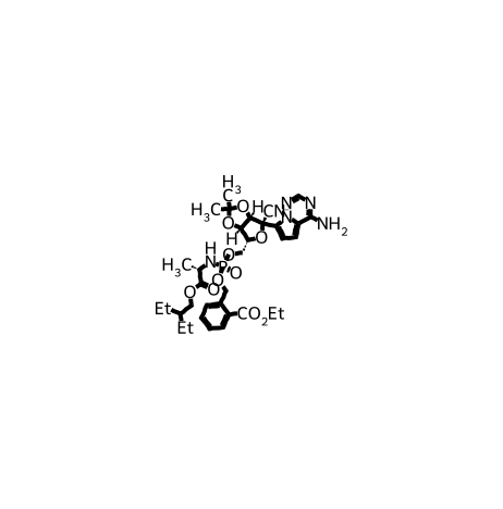 CCOC(=O)c1ccccc1COP(=O)(N[C@@H](C)C(=O)OCC(CC)CC)OC[C@H]1O[C@@](C#N)(c2ccc3c(N)ncnn23)[C@@H]2OC(C)(C)O[C@@H]21